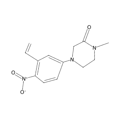 C=Cc1cc(N2CCN(C)C(=O)C2)ccc1[N+](=O)[O-]